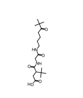 CC(C)(C)C(=O)CCCCNC(=O)CNC(=O)C(CC(=O)O)C(C)(C)C